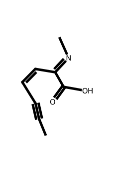 CC#C/C=C\C(=N/C)C(=O)O